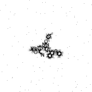 CN1CC[C@@H](COc2nc3c(c(N4CCN(C(=O)OC(C)(C)C)C(CC#N)C4)n2)CCN(c2cc(Oc4ccccc4)cc4ccccc24)C3)C1